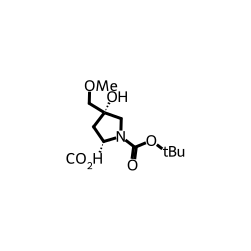 COC[C@]1(O)C[C@@H](C(=O)O)N(C(=O)OC(C)(C)C)C1